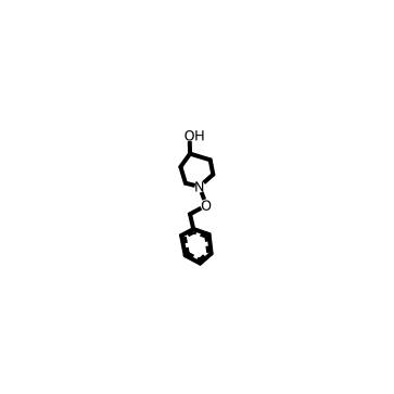 OC1CCN(OCc2ccccc2)CC1